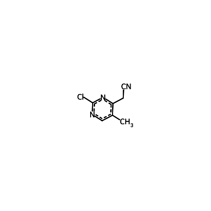 Cc1cnc(Cl)nc1CC#N